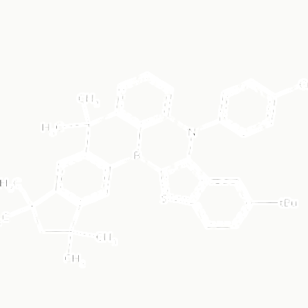 Cc1ccc(N2c3cccc4c3B(c3cc5c(cc3C4(C)C)C(C)(C)CC5(C)C)c3sc4ccc(C(C)(C)C)cc4c32)cc1